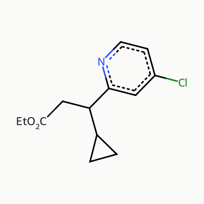 CCOC(=O)CC(c1cc(Cl)ccn1)C1CC1